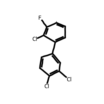 Fc1[c]ccc(-c2ccc(Cl)c(Cl)c2)c1Cl